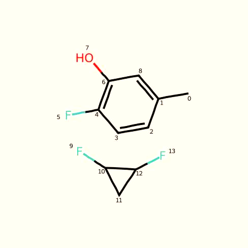 Cc1ccc(F)c(O)c1.FC1CC1F